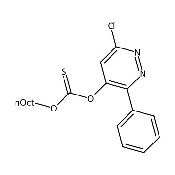 CCCCCCCCOC(=S)Oc1cc(Cl)nnc1-c1ccccc1